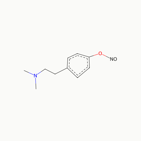 CN(C)CCc1ccc(ON=O)cc1